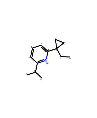 CCC1(c2cccc(C(C)C)n2)CC1